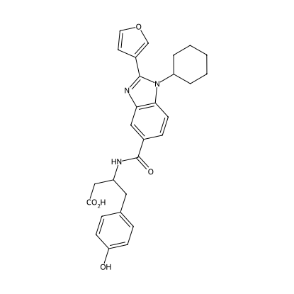 O=C(O)CC(Cc1ccc(O)cc1)NC(=O)c1ccc2c(c1)nc(-c1ccoc1)n2C1CCCCC1